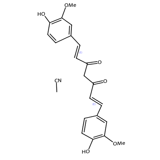 CC#N.COc1cc(/C=C/C(=O)CC(=O)/C=C/c2ccc(O)c(OC)c2)ccc1O